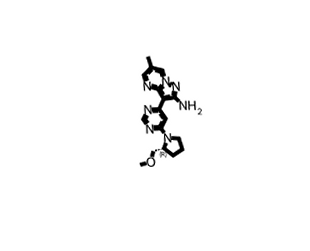 COC[C@H]1CCCN1c1cc(-c2c(N)nn3cc(C)cnc23)ncn1